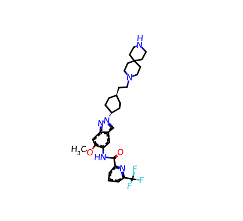 COc1cc2nn([C@H]3CC[C@H](CCN4CCC5(CCNCC5)CC4)CC3)cc2cc1NC(=O)c1cccc(C(F)(F)F)n1